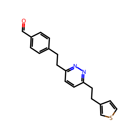 O=Cc1ccc(CCc2ccc(CCc3ccsc3)nn2)cc1